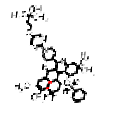 CC(C)(O)CCOc1cnc(N2CCC(c3nc4c(c(C5CCC(F)(F)CC5)c3C(F)c3ccc(C(F)(F)F)cc3)[C@@H](OS(=O)(=O)c3ccccc3)CC(C)(C)C4)CC2)nc1.O